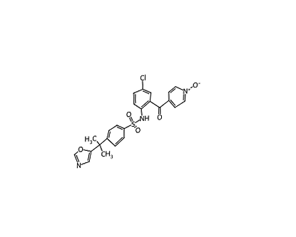 CC(C)(c1ccc(S(=O)(=O)Nc2ccc(Cl)cc2C(=O)c2cc[n+]([O-])cc2)cc1)c1cnco1